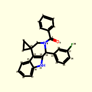 O=C(c1ccccc1)N1CC2(CC2)c2c([nH]c3ccccc23)C1c1cccc(F)c1